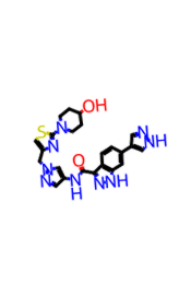 O=C(Nc1cnn(Cc2csc(N3CCC(O)CC3)n2)c1)c1n[nH]c2cc(-c3cn[nH]c3)ccc12